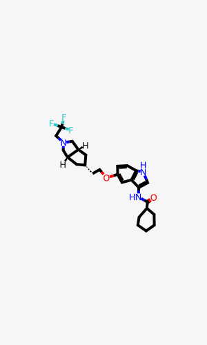 O=C(Nc1c[nH]c2ccc(OCC[C@@H]3C[C@@H]4CN(CC(F)(F)F)C[C@@H]4C3)cc12)C1CCCCC1